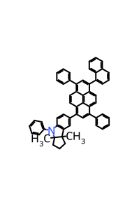 CC12CCCC1(C)N(c1ccccc1)c1ccc(-c3cc(-c4ccccc4)c4ccc5c(-c6cccc7ccccc67)cc(-c6ccccc6)c6ccc3c4c65)cc12